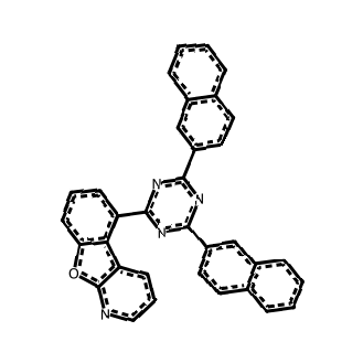 c1ccc2cc(-c3nc(-c4ccc5ccccc5c4)nc(-c4cccc5oc6ncccc6c45)n3)ccc2c1